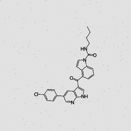 CCCCNC(=O)n1ccc2c(C(=O)c3c[nH]c4ncc(-c5ccc(Cl)cc5)cc34)cccc21